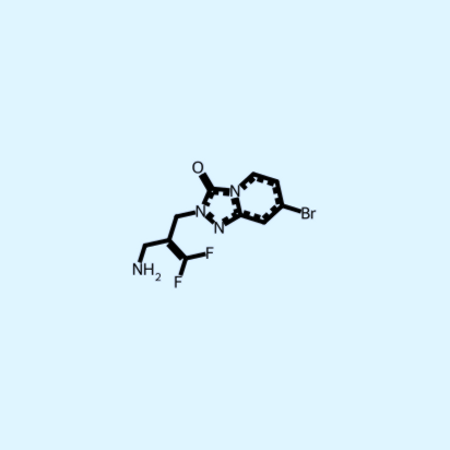 NCC(Cn1nc2cc(Br)ccn2c1=O)=C(F)F